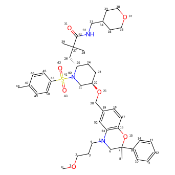 COCCCN1CC(C)(c2ccccc2)Oc2ccc(CO[C@@H]3CC[C@@H](CC(C)(C)C(=O)NCC4CCOCC4)N(S(=O)(=O)c4ccc(C)cc4)C3)cc21